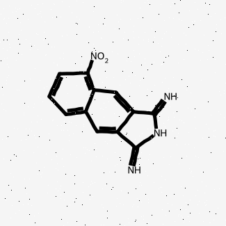 N=C1NC(=N)c2cc3c([N+](=O)[O-])cccc3cc21